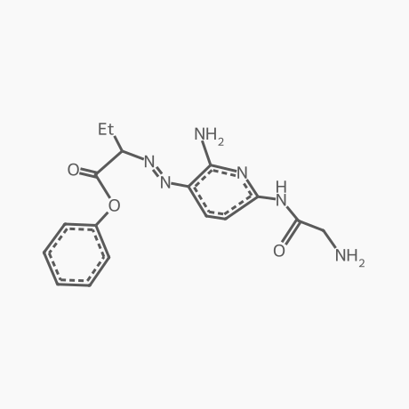 CCC(N=Nc1ccc(NC(=O)CN)nc1N)C(=O)Oc1ccccc1